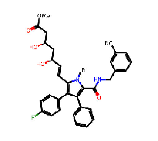 COC(=O)C[C@H](O)C[C@H](O)/C=C/c1c(-c2ccc(F)cc2)c(-c2ccccc2)c(C(=O)NCc2cccc(C#N)c2)n1C(C)C